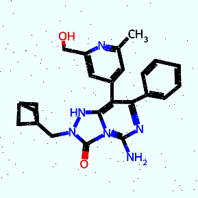 Cc1cc(-c2c(-c3ccccc3)nc(N)[n+]3c(=O)n(CC45CC(C4)C5)[nH]c23)cc(CO)n1